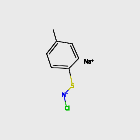 Cc1ccc(S[N-]Cl)cc1.[Na+]